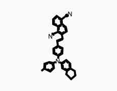 Cc1ccc(N(c2ccc(C=Cc3ccc4c(C#N)cccc4c3C#N)cc2)c2ccc3c(c2)CCCC3)cc1